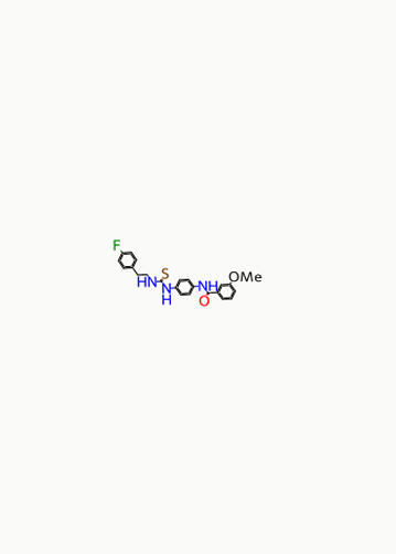 COc1cccc(C(=O)Nc2ccc(NC(=S)NCCc3ccc(F)cc3)cc2)c1